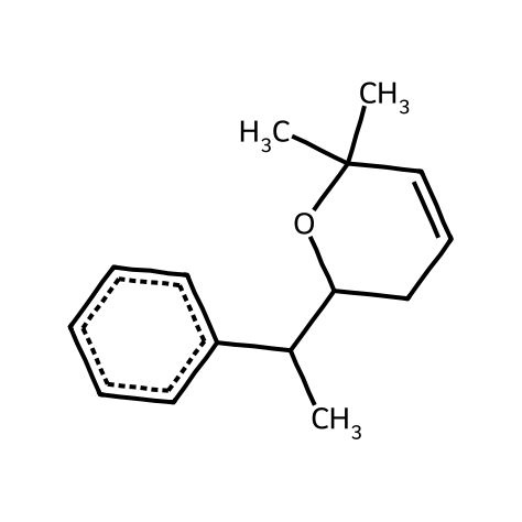 CC(c1ccccc1)C1CC=CC(C)(C)O1